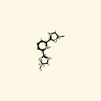 C[C@@H]1CN=C(c2cccc(C3=NC[C@@H](C)O3)n2)O1